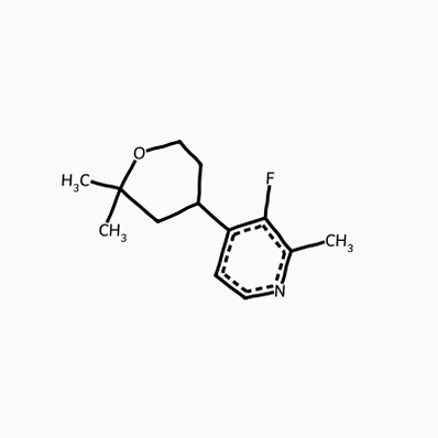 Cc1nccc(C2CCOC(C)(C)C2)c1F